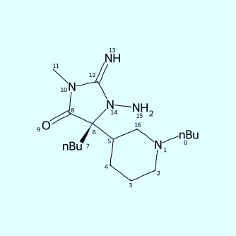 CCCCN1CCCC([C@]2(CCCC)C(=O)N(C)C(=N)N2N)C1